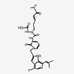 CC(C)=Cc1ncc(F)c2cc(Cn3cccc(NC(=O)[C@H](CC/C=C/C(=O)N(C)C)NC(=O)O)c3=O)[nH]c12